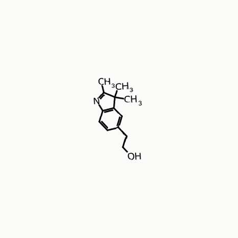 CC1=Nc2ccc(CCO)cc2C1(C)C